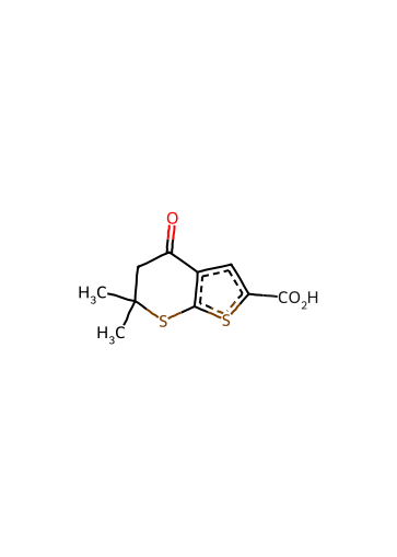 CC1(C)CC(=O)c2cc(C(=O)O)sc2S1